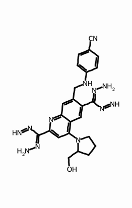 N#Cc1ccc(NCc2cc3nc(C(N=N)=NN)cc(N4CCCC4CO)c3cc2C(N=N)=NN)cc1